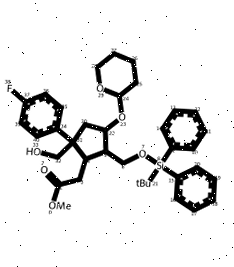 COC(=O)CC1C(CO[Si](c2ccccc2)(c2ccccc2)C(C)(C)C)C(OC2CCCCO2)CC1(CO)c1ccc(F)cc1